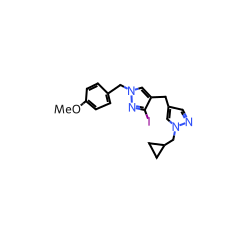 COc1ccc(Cn2cc(Cc3cnn(CC4CC4)c3)c(I)n2)cc1